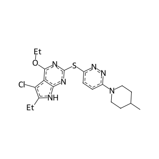 CCOc1nc(Sc2ccc(N3CCC(C)CC3)nn2)nc2[nH]c(CC)c(Cl)c12